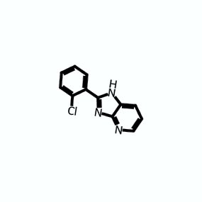 Clc1ccccc1-c1nc2ncccc2[nH]1